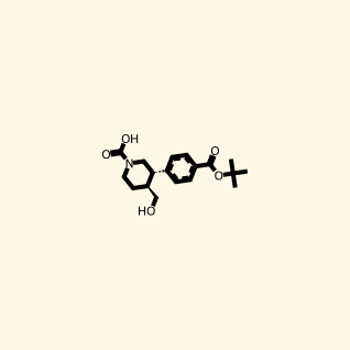 CC(C)(C)OC(=O)c1ccc([C@H]2CN(C(=O)O)CC[C@@H]2CO)cc1